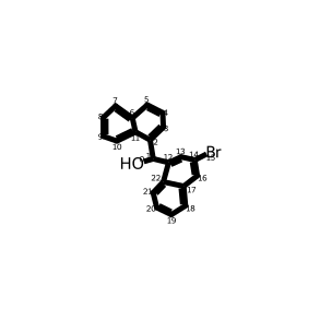 OC(c1cccc2ccccc12)c1cc(Br)cc2ccccc12